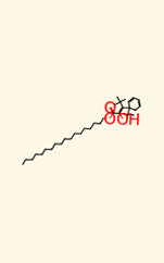 CCCCCCCCCCCCCCCCCCOC(=O)C(O)=C(C(C)(C)C)C1(C(C)(C)C)C=CC=CC1